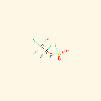 O=S(=O)(F)OC(F)(F)C(F)(F)F